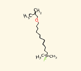 C=C(C)COCCCCCCCCCCC[Si](C)(C)F